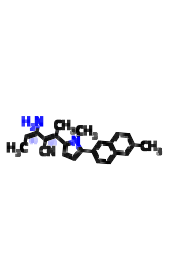 C/C=C(N)\C(C#N)=C(/C)c1ccc(-c2ccc3cc(C)ccc3c2)n1C